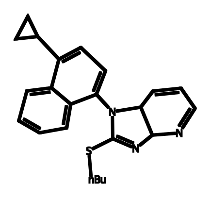 CCCCSC1=NC2N=CC=CC2N1c1ccc(C2CC2)c2ccccc12